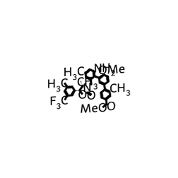 COC(=O)c1ccc(-c2ccc(OC)c(-c3c(N)cc(C)cc3CN3C(=O)O[C@H](c4cc(C)cc(C(F)(F)F)c4)[C@@H]3C)c2)c(C)c1